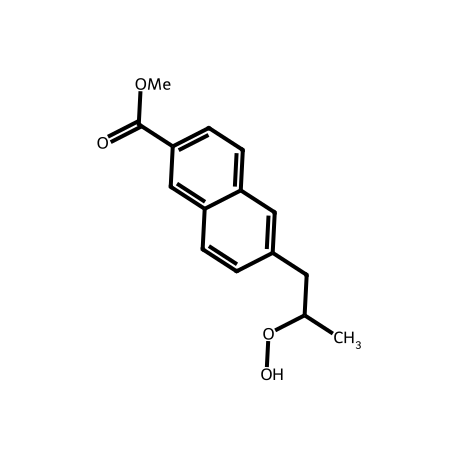 COC(=O)c1ccc2cc(CC(C)OO)ccc2c1